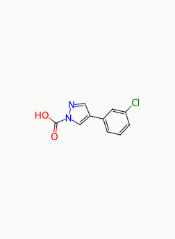 O=C(O)n1cc(-c2cccc(Cl)c2)cn1